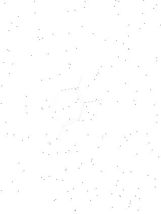 O=Cc1ccc(S(=O)(=O)O)c(C=O)c1S(=O)(=O)O